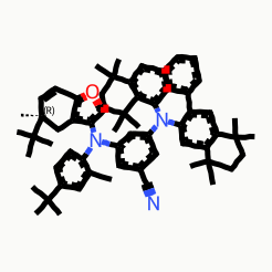 Cc1cc(C(C)(C)C)ccc1N(c1cc(C#N)cc(N(c2cc3c(cc2-c2ccccc2)C(C)(C)CCC3(C)C)c2cccc3c2C(C)(C)CCC3(C)C)c1)c1coc2c1C[C@@](C)(C(C)(C)C)C=C2